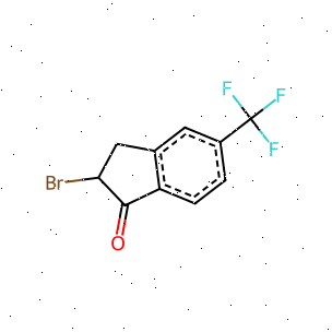 O=C1c2ccc(C(F)(F)F)cc2CC1Br